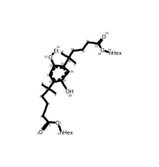 CCCCCCOC(=O)CCCC(C)(C)c1cc(OCC)c(C(C)(C)CCCC(=O)OCCCCCC)cc1O